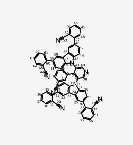 N#Cc1cccc(-c2c(-n3c4ccc(-c5ccccc5C#N)cc4c4cc(-c5ccccc5C#N)ccc43)cncc2-n2c3ccc(-c4ccccc4C#N)cc3c3cc(-c4ccccc4C#N)ccc32)c1